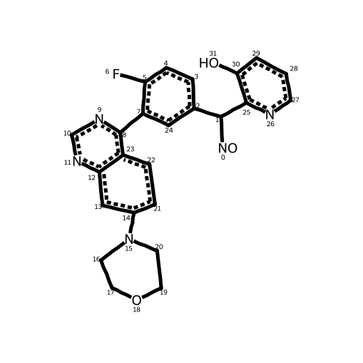 O=NC(c1ccc(F)c(-c2ncnc3cc(N4CCOCC4)ccc23)c1)c1ncccc1O